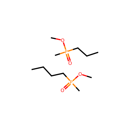 CCCCP(C)(=O)OC.CCCP(C)(=O)OC